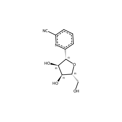 N#Cc1cccc([C@@H]2O[C@H](CO)[C@@H](O)[C@H]2O)n1